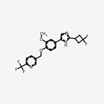 COc1cc(-c2cnc(C3CC(F)(F)C3)[nH]2)ccc1OCc1ccc(C(F)(F)F)nc1